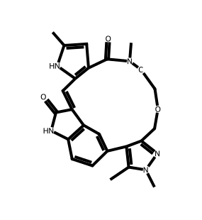 Cc1cc2c([nH]1)/C=C1\C(=O)Nc3ccc(cc31)-c1c(nn(C)c1C)COCCN(C)C2=O